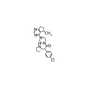 C[C@@H]1CCc2ncnc(N3CCN(C(=O)[C@@H](c4ccc(Cl)cc4)[C@@H]4CCCN4)CC3)c21